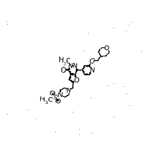 Cn1nc(-c2ccnc(OCC3CCOCC3)c2)c2oc(CN3CCN(S(C)(=O)=O)CC3)cc2c1=O